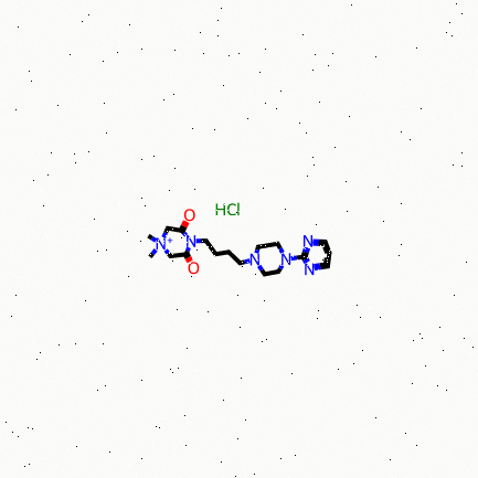 C[N+]1(C)CC(=O)N(CCCCN2CCN(c3ncccn3)CC2)C(=O)C1.Cl